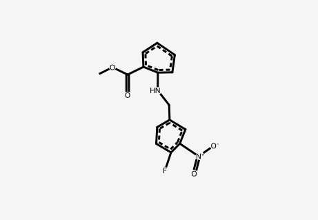 COC(=O)c1ccccc1NCc1ccc(F)c([N+](=O)[O-])c1